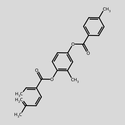 C=C(C)/C=C\C(=C/C)C(=O)Oc1ccc(OC(=O)c2ccc(C)cc2)cc1C